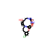 CC1(C)NC/C=C/[C@H](O)[C@@H]2CC[C@H]2CN2CCCCc3cc(Cl)ccc3COc3ccc(cc32)S(=O)(=O)NC1=O